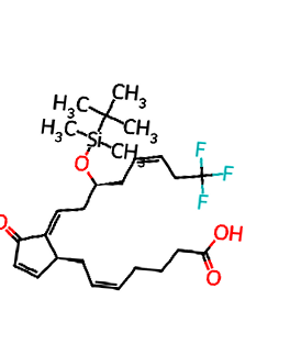 CC(C)(C)[Si](C)(C)O[C@@H](C/C=C\CC(F)(F)F)C/C=C1/C(=O)C=C[C@@H]1C/C=C\CCCC(=O)O